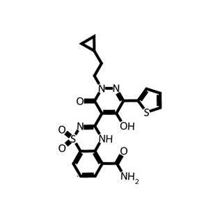 NC(=O)c1c[c]cc2c1NC(c1c(O)c(-c3cccs3)nn(CCC3CC3)c1=O)=NS2(=O)=O